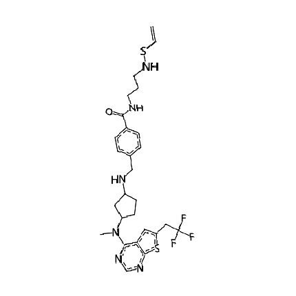 C=CSNCCCNC(=O)c1ccc(CNC2CCC(N(C)c3ncnc4sc(CC(F)(F)F)cc34)C2)cc1